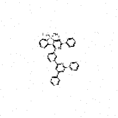 C[Si]1(C)c2ccccc2-c2c(-c3cccc(-c4cc(-c5ccccc5)cc(-c5ccccc5)n4)c3)nc(-c3ccccc3)nc21